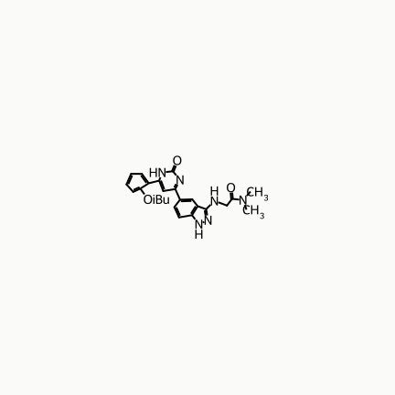 CC(C)COc1ccccc1-c1cc(-c2ccc3[nH]nc(NCC(=O)N(C)C)c3c2)nc(=O)[nH]1